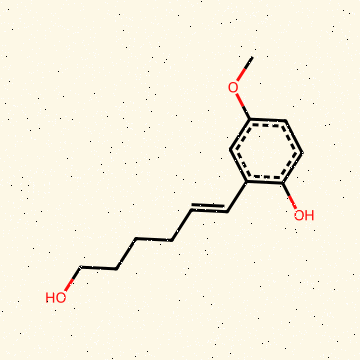 COc1ccc(O)c(C=CCCCCO)c1